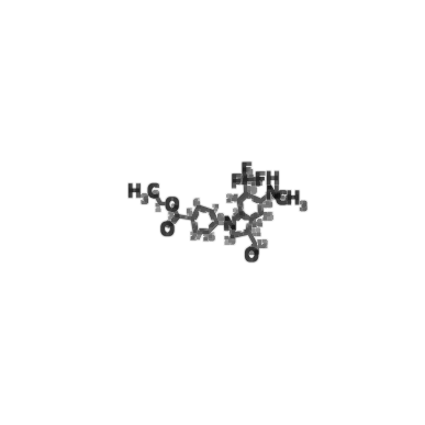 CCOC(=O)c1ccc(-n2cc(C=O)c3cc(NC)c(C(F)(F)F)cc32)cc1